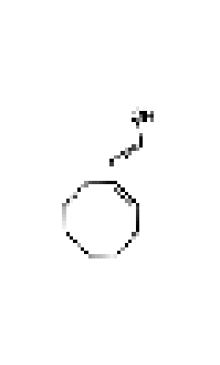 C1=CCCCCCC1.O=CO